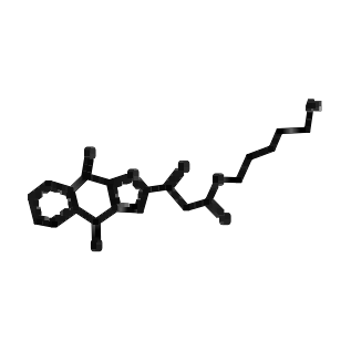 CC(=O)CCCCCOC(=O)CC(=O)c1cc2c(o1)C(=O)c1ccccc1C2=O